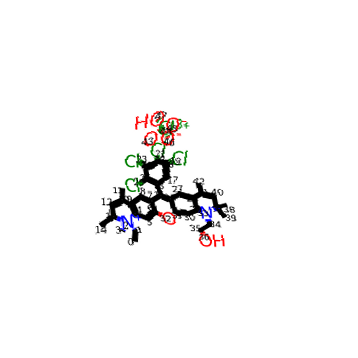 CC[N+]1(C)c2cc3c(cc2C(C)=CC1C)C(c1cc(Cl)c(Cl)c(Cl)c1Cl)=c1cc2c(cc1O3)=[N+](CCO)C(C)(C)C=C2C.[O-][Cl+3]([O-])([O-])O